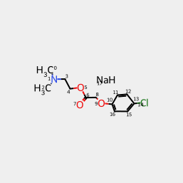 CN(C)CCOC(=O)COc1ccc(Cl)cc1.[NaH]